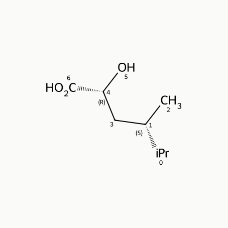 CC(C)[C@@H](C)C[C@@H](O)C(=O)O